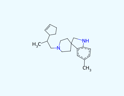 Cc1ccc2c(c1)C1(CCN(CC(C)C3C=CCC3)CC1)CN2